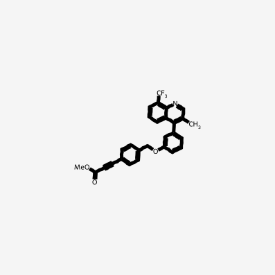 COC(=O)C#Cc1ccc(COc2cccc(-c3c(C)cnc4c(C(F)(F)F)cccc34)c2)cc1